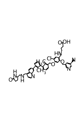 Cc1c(COc2cc(OCc3cncc(C#N)c3)c(CNCCCC(=O)O)cc2Cl)cccc1-c1cccc(-c2ccc3c(CNCC4CCC(=O)N4)ccnc3c2)c1C